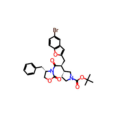 CC(C)(C)OC(=O)N1CC[C@H]([C@H](Cc2cc3cc(Br)ccc3o2)C(=O)N2C(=O)OC[C@@H]2Cc2ccccc2)C1